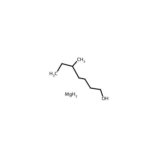 CCC(C)CCCCO.[MgH2]